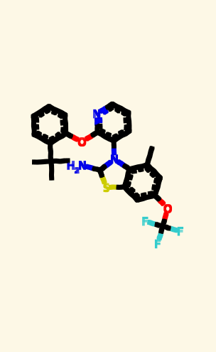 Cc1cc(OC(F)(F)F)cc2c1N(c1cccnc1Oc1ccccc1C(C)(C)C)C(N)S2